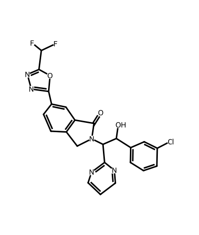 O=C1c2cc(-c3nnc(C(F)F)o3)ccc2CN1C(c1ncccn1)C(O)c1cccc(Cl)c1